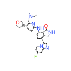 CCN(C)Cc1nc(Nc2ccc(-c3cnc4cc(F)ccn34)c3c2C(=O)NC3)ccc1[C@@H]1CCOC1